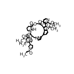 C=CC(=O)N1CCC(C(=O)N(C)[C@H](C(=O)N[C@H]2Cn3ccc(n3)-c3ccc4c(c3)c(c(-c3cccnc3[C@H](C)OC)n4CC)CC(C)(C)COC(=O)[C@@H]3CCCN(N3)C2=O)C(C)C)C1